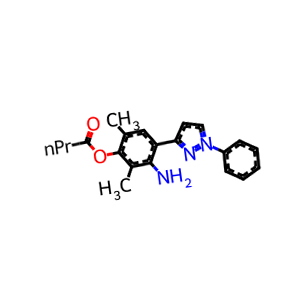 CCCC(=O)Oc1c(C)cc(-c2ccn(-c3ccccc3)n2)c(N)c1C